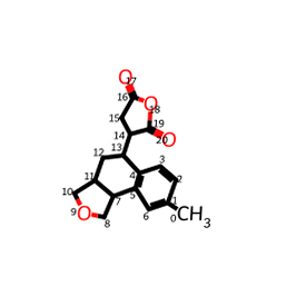 Cc1ccc2c(c1)C1COCC1CC2C1CC(=O)OC1=O